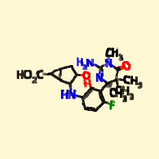 CN1C(=O)C(C)(C)[C@@](C)(c2cc(NC3C(O)CC4C(C(=O)O)C43)ccc2F)N=C1N